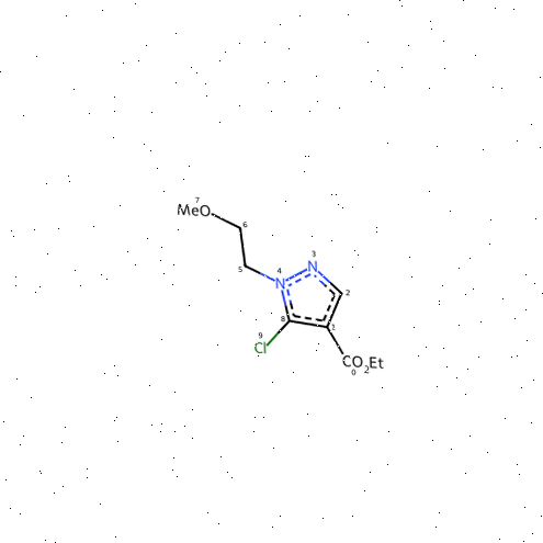 CCOC(=O)c1cnn(CCOC)c1Cl